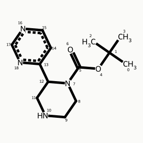 CC(C)(C)OC(=O)N1CCNCC1c1ccncn1